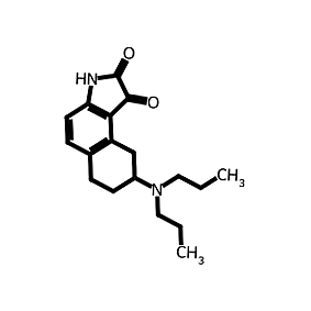 CCCN(CCC)C1CCc2ccc3c(c2C1)C(=O)C(=O)N3